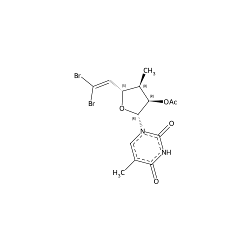 CC(=O)O[C@@H]1[C@H](C)[C@@H](C=C(Br)Br)O[C@H]1n1cc(C)c(=O)[nH]c1=O